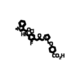 Cn1cc(C(=O)Nc2cc(F)c(CC(=O)CN3CCC[C@H]3CO[C@H]3CC[C@H](C(=O)O)CC3)cc2Cl)c2ccccc21